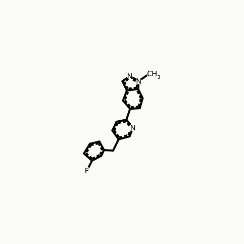 Cn1ncc2cc(-c3ccc(Cc4cccc(F)c4)cn3)ccc21